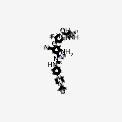 C=C(/N=C(\N=C/N)c1ccc(O[C@H]2CCN(C(O)C3=CN(C)NN3)C[C@H]2F)c(C#N)c1)Nc1ccc(N2CCN(C3COC3)CC2)cc1